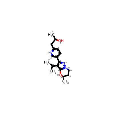 CC(O)Cc1ccc(-c2nn3c(c2C(C)C)O[C@H](C)CC3)cn1